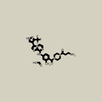 Cc1cc(Nc2nccn3c(-c4c[nH]nc4C(F)(F)F)cnc23)ccc1C(=O)N1CCN(C(=O)CCN)CC1.O=CO